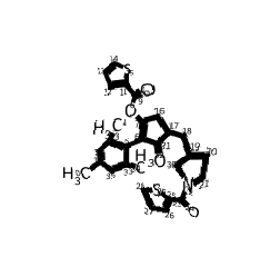 Cc1cc(C)c(C2=C(OC(=O)c3cccs3)CC(CC3CCN(C(=O)c4cccs4)C3)C2=O)c(C)c1